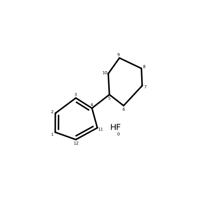 F.c1ccc(C2CCCCC2)cc1